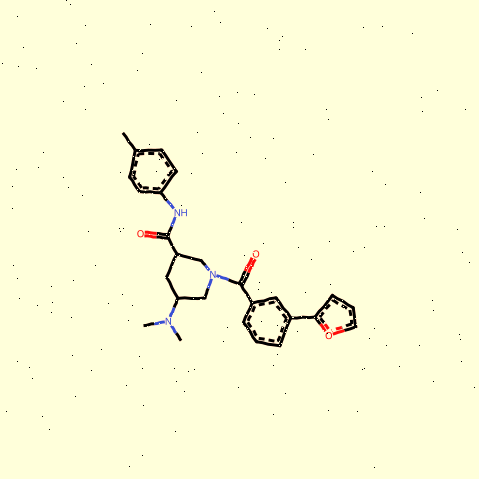 Cc1ccc(NC(=O)C2CC(N(C)C)CN(C(=O)c3cccc(-c4ccco4)c3)C2)cc1